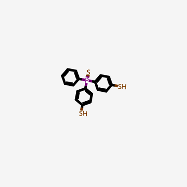 S=P(c1ccccc1)(c1ccc(S)cc1)c1ccc(S)cc1